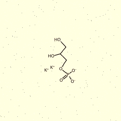 O=P([O-])([O-])OCC(O)CO.[K+].[K+]